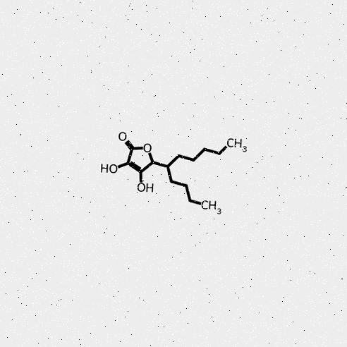 CCCCCC(CCCC)C1OC(=O)C(O)=C1O